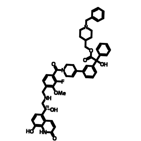 COc1c(CNC[C@H](O)c2ccc(O)c3[nH]c(=O)ccc23)ccc(C(=O)N2CC=C(c3cccc(C(O)(C(=O)OCC4CCN(Cc5ccccc5)CC4)c4ccccc4)c3)CC2)c1F